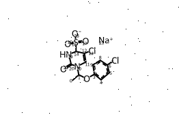 CC(Oc1ccc(Cl)cc1)N1C=C(Cl)C(S(=O)(=O)[O-])NC1=O.[Na+]